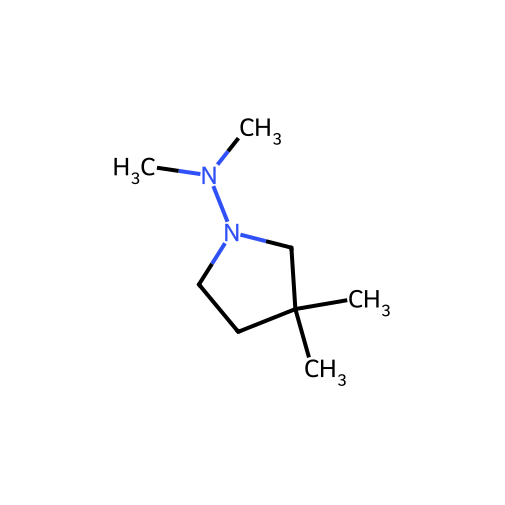 CN(C)N1CCC(C)(C)C1